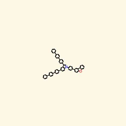 c1ccc(-c2ccc(-c3ccc(-c4ccc5c(c4)c(-c4ccc(-c6ccc(-c7ccccc7)cc6)cc4)cn5-c4ccc(-c5ccc6oc7ccccc7c6c5)cc4)cc3)cc2)cc1